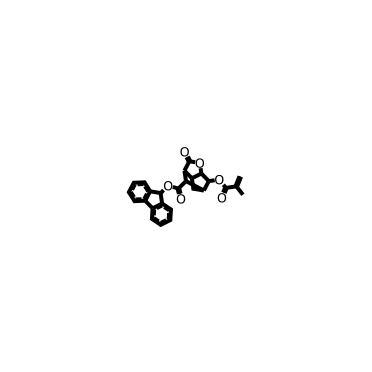 C=C(C)C(=O)OC1C2CC3C1OC(=O)C3C2C(=O)OC1c2ccccc2-c2ccccc21